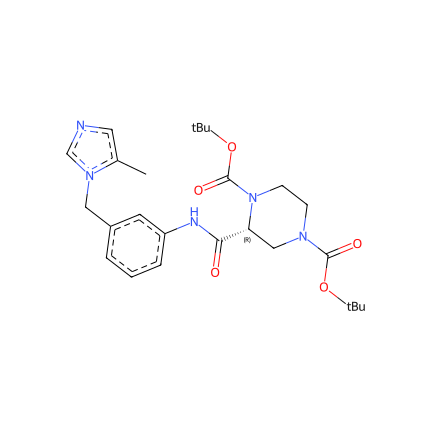 Cc1cncn1Cc1cccc(NC(=O)[C@H]2CN(C(=O)OC(C)(C)C)CCN2C(=O)OC(C)(C)C)c1